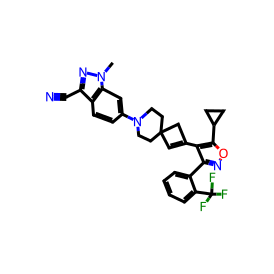 Cn1nc(C#N)c2ccc(N3CCC4(C=C(c5c(-c6ccccc6C(F)(F)F)noc5C5CC5)C4)CC3)cc21